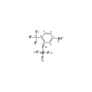 FC(F)(F)c1ccc([IH+])cc1.F[B-](F)(F)F